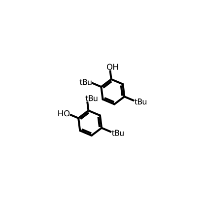 CC(C)(C)c1ccc(C(C)(C)C)c(O)c1.CC(C)(C)c1ccc(O)c(C(C)(C)C)c1